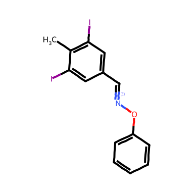 Cc1c(I)cc(/C=N/Oc2ccccc2)cc1I